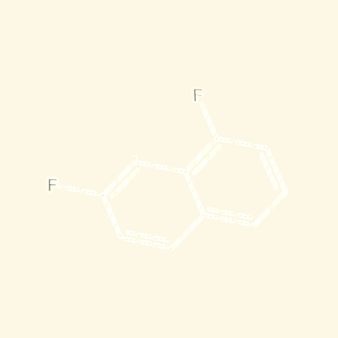 Fc1[c]c2c(F)cccc2cc1